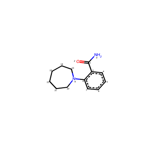 NC(=O)c1ccccc1N1CCCCCC1